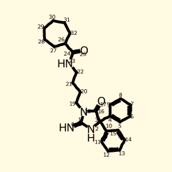 N=C1NC(c2ccccc2)(c2ccccc2)C(=O)N1CCCCNC(=O)C1CCCCCC1